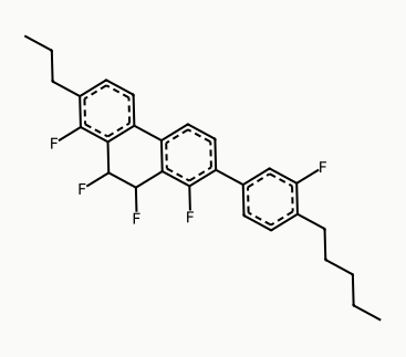 CCCCCc1ccc(-c2ccc3c(c2F)C(F)C(F)c2c-3ccc(CCC)c2F)cc1F